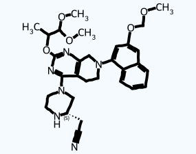 COCOc1cc(N2CCc3c(nc(OC(C)C(OC)OC)nc3N3CCN[C@@H](CC#N)C3)C2)c2ccccc2c1